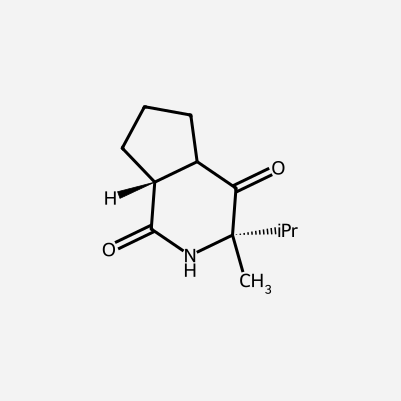 CC(C)[C@]1(C)NC(=O)[C@@H]2CCCC2C1=O